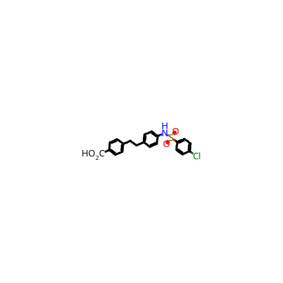 O=C(O)c1ccc(CCc2ccc(NS(=O)(=O)c3ccc(Cl)cc3)cc2)cc1